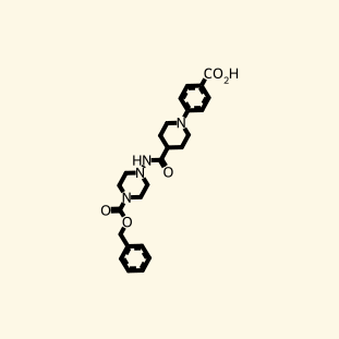 O=C(O)c1ccc(N2CCC(C(=O)NN3CCN(C(=O)OCc4ccccc4)CC3)CC2)cc1